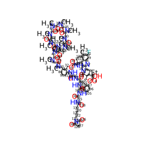 CC[C@@]1(O)C(=O)OCc2c1cc1n(c2=O)Cc2c-1nc1cc(F)c(C)c3c1c2[C@@H](NC(=O)OCc1c(CN(C)C(=O)CN(C)C(=O)CN(C)C(=O)CN(C)C(=O)CN(C)C(=O)CN(C)C(=O)CN(C)C(=O)CN(C)C(=O)CN(C)C(=O)CN(C)C(=O)CN(C)C(C)=O)cccc1NC(=O)CNC(=O)[C@H](Cc1ccccc1)NC(=O)CNC(=O)CNC(=O)CCCCCN1C(=O)C=CC1=O)CC3